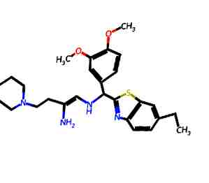 CCc1ccc2nc(C(N/C=C(\N)CCN3CCCCC3)c3ccc(OC)c(OC)c3)sc2c1